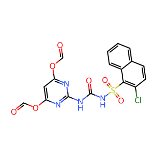 O=COc1cc(OC=O)nc(NC(=O)NS(=O)(=O)c2c(Cl)ccc3ccccc23)n1